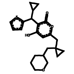 O=c1oc(CC2(CC3CCCOC3)CC2)cc(O)c1C(c1cccs1)C1CC1